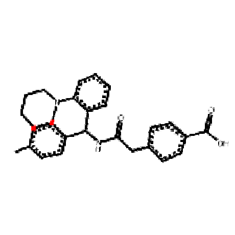 O=C(Cc1ccc(C(=O)O)cc1)NC(c1ccc(F)cc1)c1ccccc1N1CCCCC1